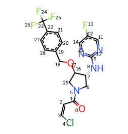 O=C(/C=C\Cl)N1C[C@@H](Nc2ncc(F)cn2)[C@H](OCc2ccc(C(F)(F)F)cc2)C1